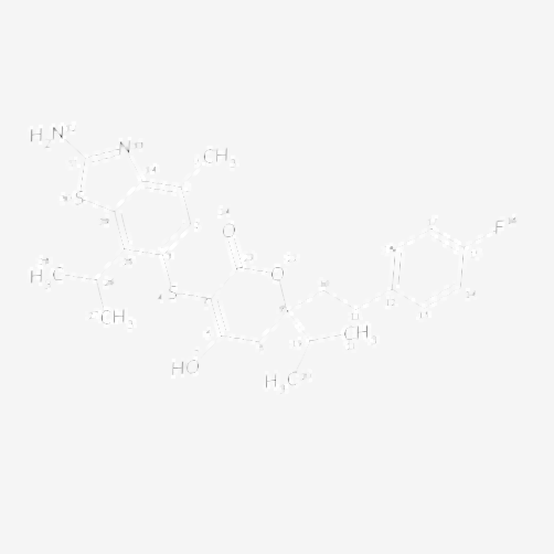 Cc1cc(SC2=C(O)CC(CCc3ccc(F)cc3)(C(C)C)OC2=O)c(C(C)C)c2sc(N)nc12